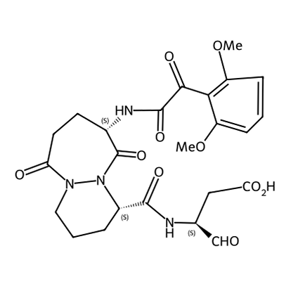 COc1cccc(OC)c1C(=O)C(=O)N[C@H]1CCC(=O)N2CCC[C@@H](C(=O)N[C@H](C=O)CC(=O)O)N2C1=O